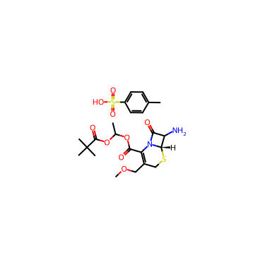 COCC1=C(C(=O)OC(C)OC(=O)C(C)(C)C)N2C(=O)C(N)[C@@H]2SC1.Cc1ccc(S(=O)(=O)O)cc1